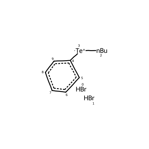 Br.Br.CCCC[Te+]c1ccccc1